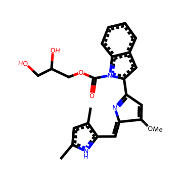 COC1=CC(c2cc3ccccc3n2C(=O)OCC(O)CO)=N/C1=C\c1[nH]c(C)cc1C